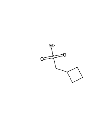 C[CH]S(=O)(=O)CC1CCC1